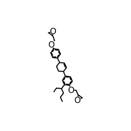 CCCC(CC)c1cc(C2C=CC(c3ccc(OCC4CO4)cc3)CC2)ccc1OCC1CO1